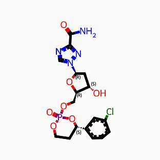 NC(=O)c1ncn([C@H]2C[C@H](O)[C@@H](COP3(=O)OCC[C@@H](c4cccc(Cl)c4)O3)O2)n1